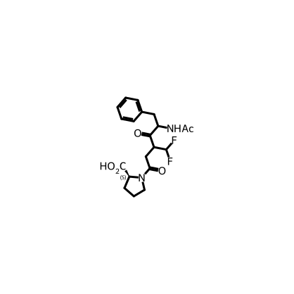 CC(=O)NC(Cc1ccccc1)C(=O)C(CC(=O)N1CCC[C@H]1C(=O)O)C(F)F